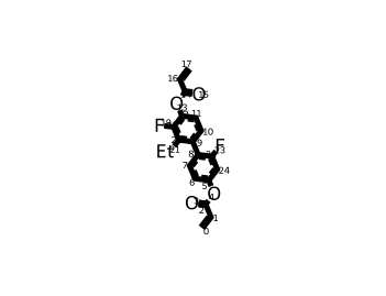 C=CC(=O)Oc1ccc(-c2ccc(OC(=O)C=C)c(F)c2CC)c(F)c1